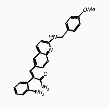 COc1ccc(CNc2ccc3cc(/C=C(\C(N)=O)c4ccccc4N)ccc3n2)cc1